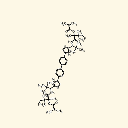 CN(C)C(=O)OC(C)(C(=O)NC(c1ncc(-c2ccc(-c3ccc(-c4cnc([C@@H](NC(=O)C(C)(OC(=O)N(C)C)C(C)(C)CF)C(C)(C)C)[nH]4)cc3)cc2)[nH]1)C(C)(C)C)C(C)(C)CF